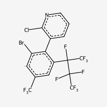 FC(F)(F)c1[c]c(Br)c(-c2cccnc2Cl)c(C(F)(C(F)(F)F)C(F)(F)C(F)(F)F)c1